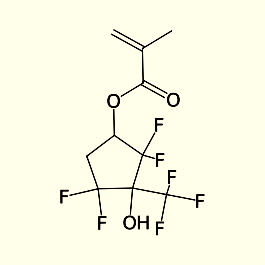 C=C(C)C(=O)OC1CC(F)(F)C(O)(C(F)(F)F)C1(F)F